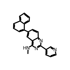 CNc1nc(-c2cccnc2)nc2ccc(-c3cccc4ccccc34)cc12